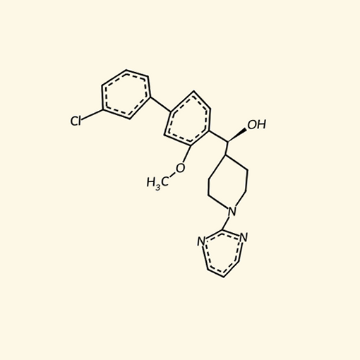 COc1cc(-c2cccc(Cl)c2)ccc1[C@@H](O)C1CCN(c2ncccn2)CC1